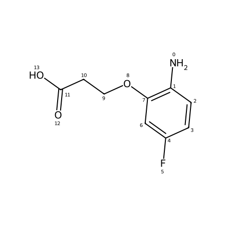 Nc1ccc(F)cc1OCCC(=O)O